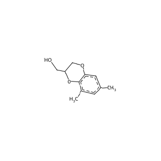 Cc1cc(C)c2c(c1)OCC(CO)O2